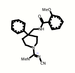 CN/C(=N\C#N)N1CCC(CNC(=O)c2ccccc2OC)(c2ccccc2)CC1